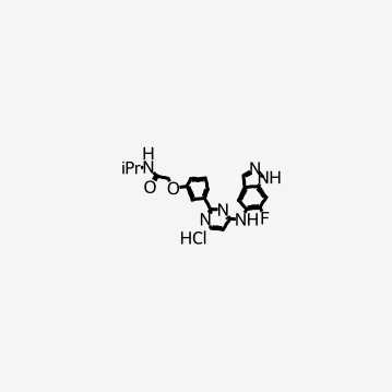 CC(C)NC(=O)COc1cccc(-c2nccc(Nc3cc4cn[nH]c4cc3F)n2)c1.Cl